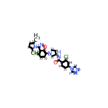 Cc1ccc(C)n1-c1noc2c(N3CC[C@@H](NC(=O)c4ccc(-n5cnnc5)cc4Cl)C3)ccc(F)c12